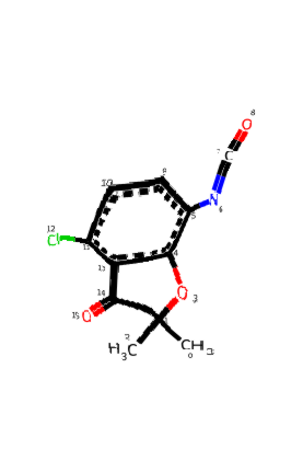 CC1(C)Oc2c(N=C=O)ccc(Cl)c2C1=O